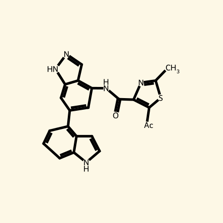 CC(=O)c1sc(C)nc1C(=O)Nc1cc(-c2cccc3[nH]ccc23)cc2[nH]ncc12